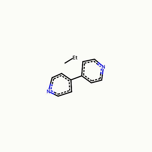 CCC.c1cc(-c2ccncc2)ccn1